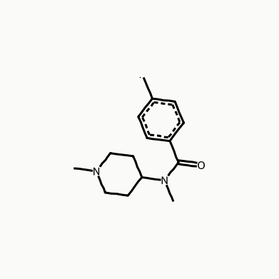 [CH2]c1ccc(C(=O)N(C)C2CCN(C)CC2)cc1